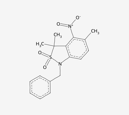 Cc1ccc2c(c1[N+](=O)[O-])C(C)(C)S(=O)(=O)N2Cc1ccccc1